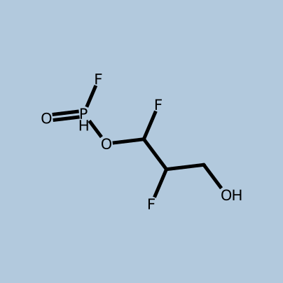 O=[PH](F)OC(F)C(F)CO